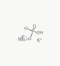 O=P([O-])([O-])O.[F-].[K+].[Mn+2]